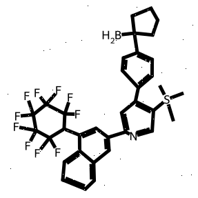 BC1(c2ccc(-c3cc(-c4cc(C5C(F)(F)C(F)(F)C(F)(F)C(F)(F)C5(F)F)c5ccccc5c4)ncc3S(C)(C)C)cc2)CCCC1